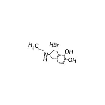 Br.CCCNC1CCc2c(ccc(O)c2O)C1